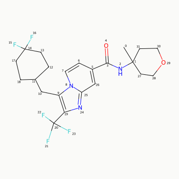 CC1(NC(=O)c2ccn3c(CC4CCC(F)(F)CC4)c(C(F)(F)F)nc3c2)CCOCC1